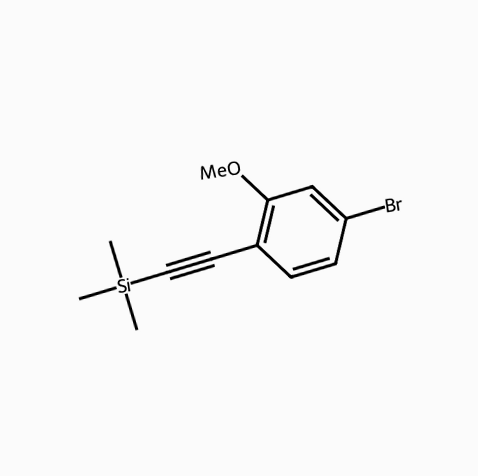 COc1cc(Br)ccc1C#C[Si](C)(C)C